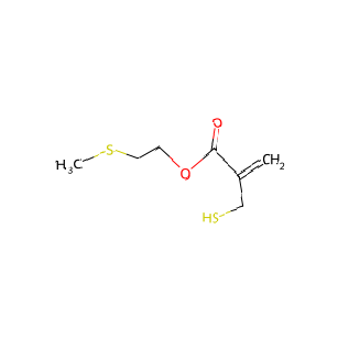 C=C(CS)C(=O)OCCSC